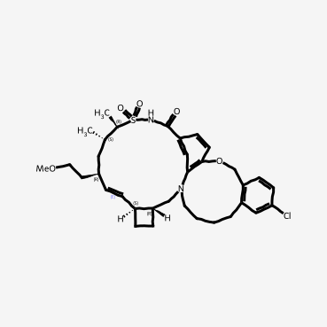 COCC[C@@H]1/C=C/[C@@H]2CC[C@H]2CN2CCCCc3cc(Cl)ccc3COc3ccc(cc32)C(=O)NS(=O)(=O)[C@H](C)[C@@H](C)C1